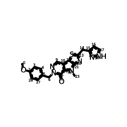 COc1ccc(Cn2ncc3c4sc(Cc5cc[nH]n5)nc4n(C)c3c2=O)cc1